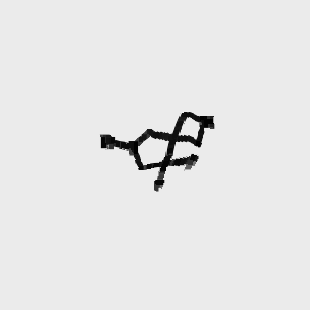 CC(C)N1CC(F)(F)C2(CNC2)C1